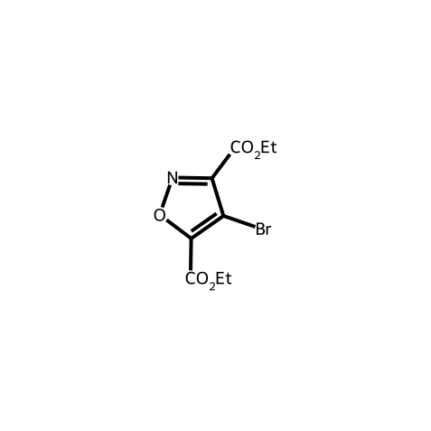 CCOC(=O)c1noc(C(=O)OCC)c1Br